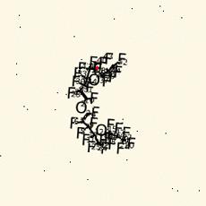 FC(OC(F)=C(F)C(F)(F)C(F)(OC(F)(F)C(F)(F)C(F)(F)F)C(F)(F)F)=C(F)C(F)(F)C(F)(OC(F)(F)C(F)(F)C(F)(F)F)C(F)(F)F